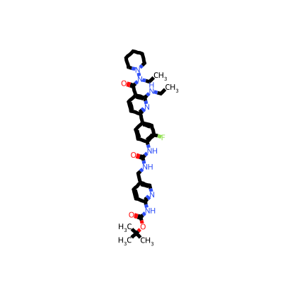 CCNc1nc(-c2ccc(NC(=O)NCc3ccc(NC(=O)OC(C)(C)C)nc3)c(F)c2)ccc1C(=O)N(CC)N1CCCCC1